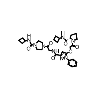 O=C(NCC(=O)N1CCN(C(=O)NC2CCC2)CC1)c1cc(OCC(=O)N2CCC[C@H]2C(=O)NC2CCC2)n(-c2ccccc2)n1